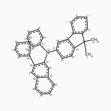 CC1(C)c2ccccc2-c2cc(N(c3ccccc3)c3cc4ccccc4cc3-c3ccccc3)ccc21